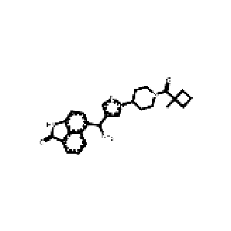 CC1(C(=O)N2CCC(n3cc(C(N)c4ccc5c6c(cccc46)C(=O)N5)cn3)CC2)CCC1